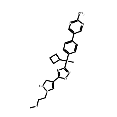 COCCN1C=C(c2nc([C@@](C)(c3ccc(-c4cnc(N)nc4)cc3)C3CCC3)no2)CN1